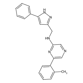 Cc1ccccc1-c1cncc(NCc2cc(-c3ccccc3)[nH]n2)n1